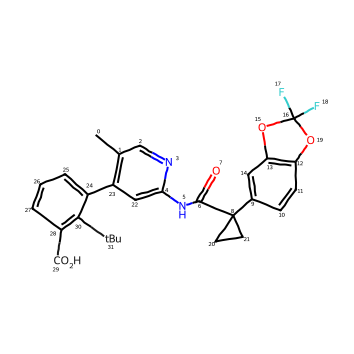 Cc1cnc(NC(=O)C2(c3ccc4c(c3)OC(F)(F)O4)CC2)cc1-c1cccc(C(=O)O)c1C(C)(C)C